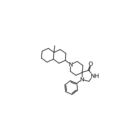 CC12CCCCC1CC(N1CCC3(CC1)C(=O)NCN3c1ccccc1)CC2